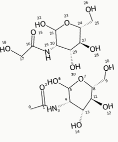 CC(=O)N[C@@H]1C(O)O[C@H](CO)[C@@H](O)[C@@H]1O.O=C(CO)N[C@@H]1C(O)O[C@H](CO)[C@@H](O)[C@@H]1O